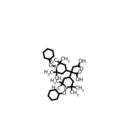 CC1(C)CC(C(CC(=O)O)(C(=O)O)C2CC(C)(C)N(OC3CCCCC3)C(C)(C)C2)CC(C)(C)N1OC1CCCCC1